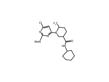 CNc1nc(Cl)cc(N2CC(C(=O)NC3CCCCC3)CCC2C(F)(F)F)n1